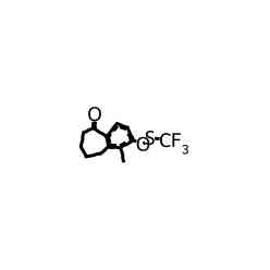 Cc1c(OSC(F)(F)F)ccc2c1CCCCC2=O